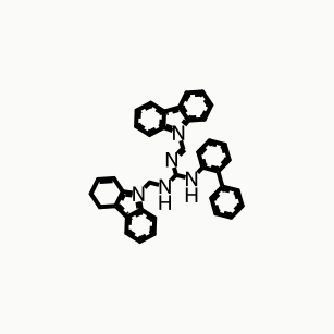 C1=Cc2c(c3ccccc3n2CNC(/N=C/n2c3ccccc3c3ccccc32)Nc2ccccc2-c2ccccc2)CC1